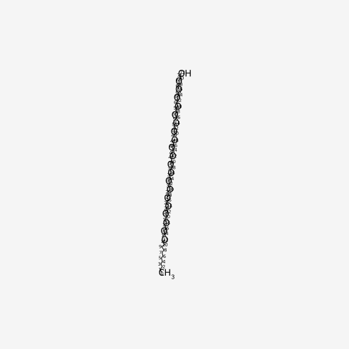 CCCCCCCCCCCCOCCOCCOCCOCCOCCOCCOCCOCCOCCOCCOCCOCCOCCOCCOCCOCCOCCOCCOCCOCCO